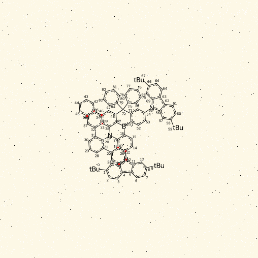 CC(C)(C)c1ccc2c3ccc(C(C)(C)C)cc3n(-c3ccc4c(c3)N(c3c(-c5ccccc5)cccc3-c3ccccc3)c3cc(-c5ccccc5)cc5c3B4c3ccc(-n4c6cc(C(C)(C)C)ccc6c6ccc(C(C)(C)C)cc64)cc3C5(c3ccccc3)c3ccccc3)c2c1